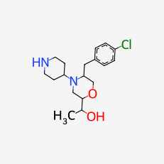 CC(O)C1CN(C2CCNCC2)C(Cc2ccc(Cl)cc2)CO1